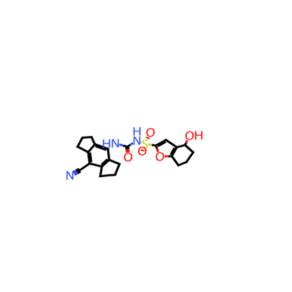 N#Cc1c2c(c(NC(=O)NS(=O)(=O)c3cc4c(o3)CCCC4O)c3c1CCC3)CCC2